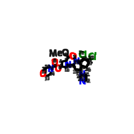 COC(=O)C1CC(OC(=O)N2CCOCC2)CN1c1cc(-n2ccnc2)c2ccc(Cl)c(Cl)c2n1